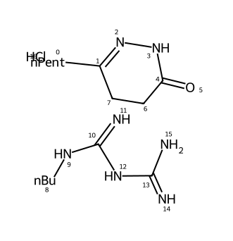 CCCCCC1=NNC(=O)CC1.CCCCNC(=N)NC(=N)N.Cl